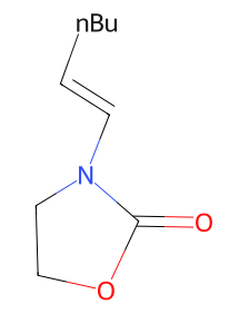 CCCCC=CN1CCOC1=O